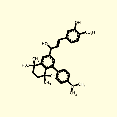 CN(C)c1ccc(-c2cc(C(O)/C=C/c3ccc(C(=O)O)c(O)c3)cc3c2C(C)(C)CCC3(C)C)cc1